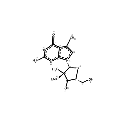 CO[C@]1(C)C(O)[C@@H](CO)O[C@H]1n1cc(C)c2c(=O)[nH]c(N)nc21